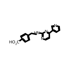 O=C(O)c1ccc(CCNc2nccc(-c3cccnc3)n2)cc1